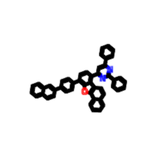 c1ccc(-c2cc(-c3ccc(-c4ccc(-c5ccc6ccccc6c5)cc4)c4oc5c6ccccc6ccc5c34)nc(-c3ccccc3)n2)cc1